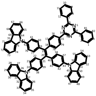 c1ccc(-c2nc(-c3ccccc3)nc(-c3ccc(C(=C(c4ccc(-n5c6ccccc6c6ccccc65)cc4)c4ccc(-n5c6ccccc6c6ccccc65)cc4)c4ccc(-n5c6ccccc6c6ccccc65)cc4)cc3)n2)cc1